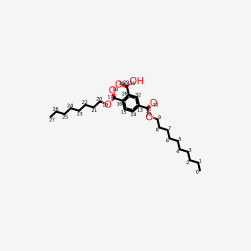 CCCCCCCCCCOC(=O)c1ccc(C(=O)OCCCCCCCC)c(C(=O)O)c1